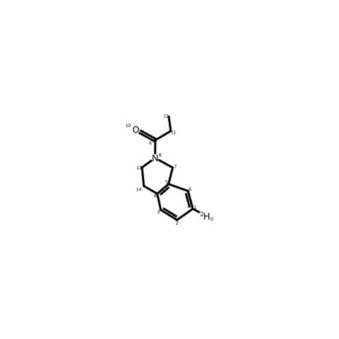 [2H]c1ccc2c(c1)CN(C(=O)CC)CC2